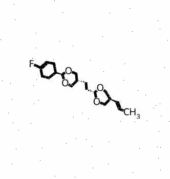 C/C=C/[C@H]1CO[C@H](CC[C@H]2CO[C@H](C3CC=C(F)CC3)OC2)OC1